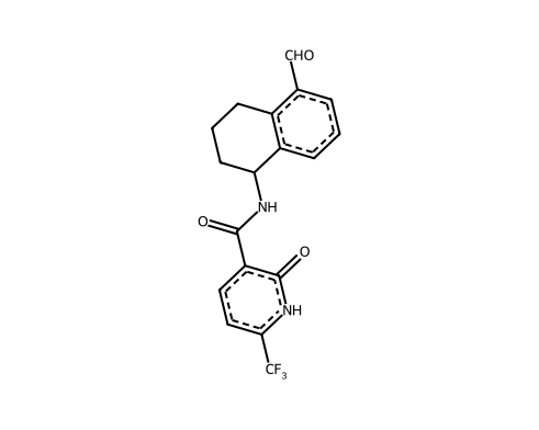 O=Cc1cccc2c1CCCC2NC(=O)c1ccc(C(F)(F)F)[nH]c1=O